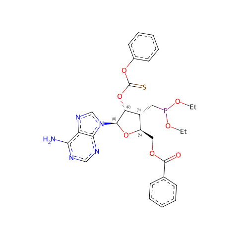 CCOP(C[C@H]1[C@@H](OC(=S)Oc2ccccc2)[C@H](n2cnc3c(N)ncnc32)O[C@@H]1COC(=O)c1ccccc1)OCC